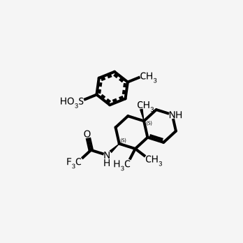 CC1(C)C2=CCNC[C@@]2(C)CC[C@@H]1NC(=O)C(F)(F)F.Cc1ccc(S(=O)(=O)O)cc1